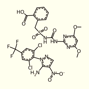 COc1cc(OC)nc(NC(=O)NS(=O)(=O)Cc2ccccc2C(=O)O)n1.Nc1c([N+](=O)[O-])cnn1-c1c(Cl)cc(C(F)(F)F)cc1Cl